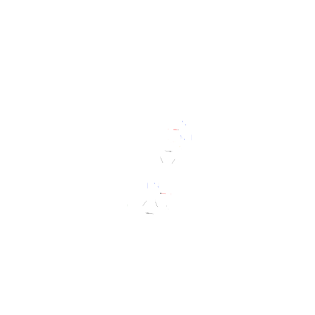 CC(=O)c1ccc(Cl)cc1C(=O)NCCc1ccc(S(=O)(=O)NC(=O)NC2CCCCC2)cc1